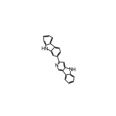 c1ccc2c(c1)[nH]c1cc(-c3cc4[nH]c5ccccc5c4cn3)ccc12